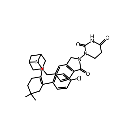 CC1(C)CCC(CN2C3CC2CN(Cc2ccc4c(c2)CN(N2CCC(=O)NC2=O)C4=O)C3)=C(c2ccc(Cl)cc2)C1